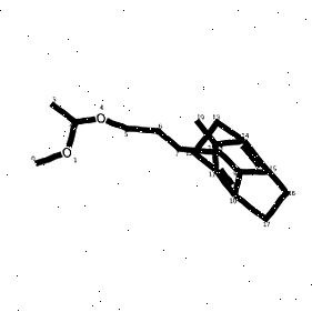 COC(C)OCCCCC1C2=C3CCC(=C1CC2)C3C